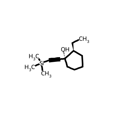 CC[C@H]1CCCC[C@@]1(O)C#C[Si](C)(C)C